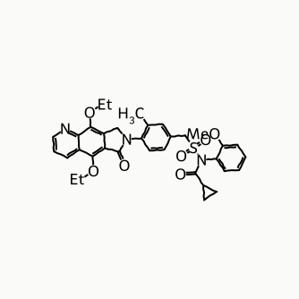 CCOc1c2c(c(OCC)c3ncccc13)CN(c1ccc(CS(=O)(=O)N(C(=O)C3CC3)c3ccccc3OC)cc1C)C2=O